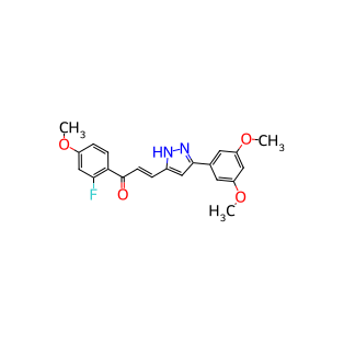 COc1cc(OC)cc(-c2cc(C=CC(=O)c3ccc(OC)cc3F)[nH]n2)c1